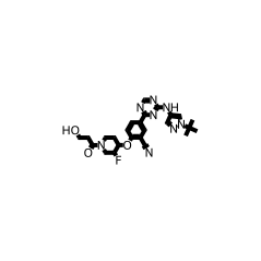 CC(C)(C)n1cc(Nc2ncnc(-c3ccc(OC4CCN(C(=O)CCO)CC4F)c(C#N)c3)n2)cn1